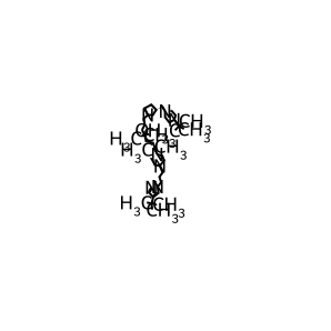 CC(C)(CCC(C)(C)N1CCN(CCCn2cc(C(C)(C)C)cn2)CC1)OCCN1CC[C@H](CN2CCN(C(C)(C)C)CC2)C1